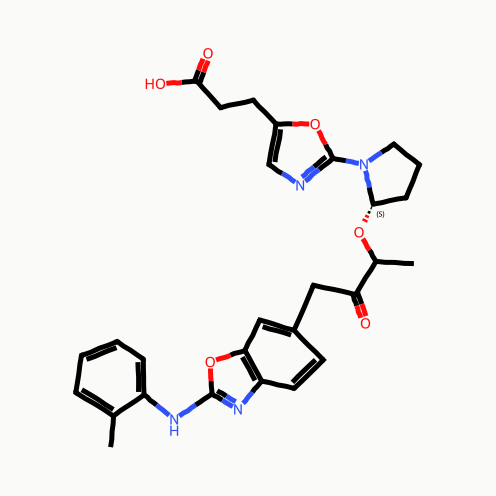 Cc1ccccc1Nc1nc2ccc(CC(=O)C(C)O[C@H]3CCCN3c3ncc(CCC(=O)O)o3)cc2o1